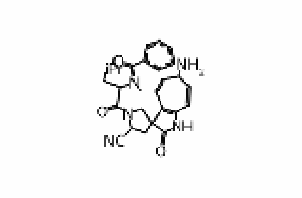 CC(C)CC(C(=O)N1CC2(CC1C#N)C(=O)NC1=C2C=CC(N)C=C1)N(C)C(=O)c1ccccc1